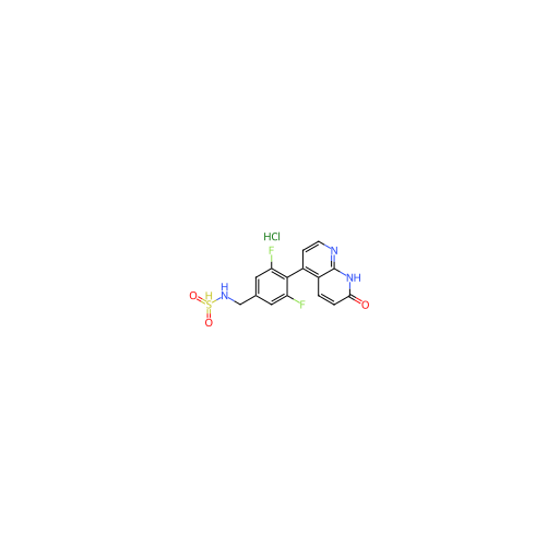 Cl.O=c1ccc2c(-c3c(F)cc(CN[SH](=O)=O)cc3F)ccnc2[nH]1